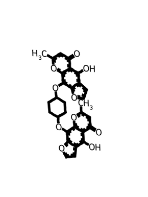 Cc1cc(=O)c2c(O)c3ccoc3c(OC3CCC(Oc4c5occc5c(O)c5c(=O)cc(C)oc45)CC3)c2o1